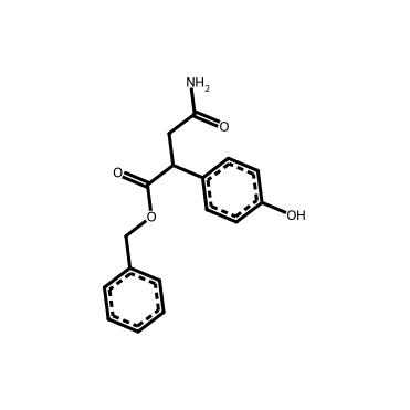 NC(=O)CC(C(=O)OCc1ccccc1)c1ccc(O)cc1